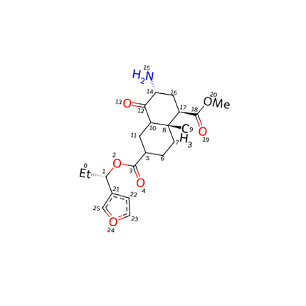 CC[C@H](OC(=O)C1CC[C@]2(C)C(C1)C(=O)[C@H](N)C[C@H]2C(=O)OC)c1ccoc1